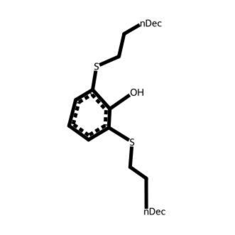 CCCCCCCCCCCCSc1cccc(SCCCCCCCCCCCC)c1O